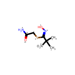 CC(C)(C(=NO)SCC(N)=O)[N+](=O)[O-]